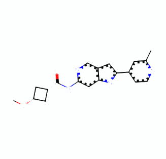 CO[C@H]1C[C@H](C(=O)Nc2cc3[nH]c(-c4ccnc(C)c4)cc3cn2)C1